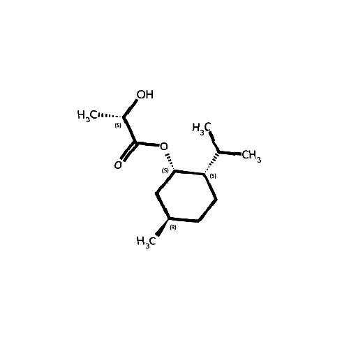 CC(C)[C@@H]1CC[C@@H](C)C[C@@H]1OC(=O)[C@H](C)O